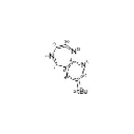 CC(C)(C)c1cnc2c(c1)C=NC=C=N2